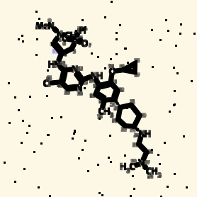 CNN(C)/C=C(\CS(=O)(=O)C(C)C)Nc1nc(Nc2cc(C)c([C@H]3CC[C@@H](NCCN(C)C)CC3)cc2OC2CC2)ncc1Cl